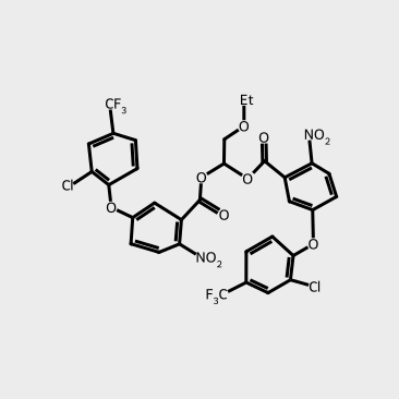 CCOCC(OC(=O)c1cc(Oc2ccc(C(F)(F)F)cc2Cl)ccc1[N+](=O)[O-])OC(=O)c1cc(Oc2ccc(C(F)(F)F)cc2Cl)ccc1[N+](=O)[O-]